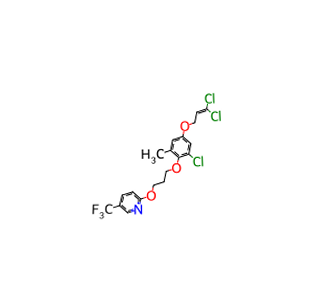 Cc1cc(OCC=C(Cl)Cl)cc(Cl)c1OCCCOc1ccc(C(F)(F)F)cn1